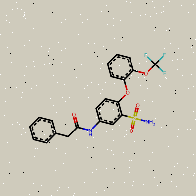 NS(=O)(=O)c1cc(NC(=O)Cc2ccccc2)ccc1Oc1ccccc1OC(F)(F)F